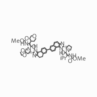 COC(=O)N[C@H](C(=O)N1CCC[C@H]1c1nc2ccc3cc(-c4ccc5c(c4)CCc4nc([C@@H]6CC7(CN6C(=O)[C@@H](NC(=O)OC)C6CCOCC6)OCCO7)[nH]c4-5)ccc3c2[nH]1)C(C)C